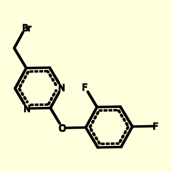 Fc1ccc(Oc2ncc(CBr)cn2)c(F)c1